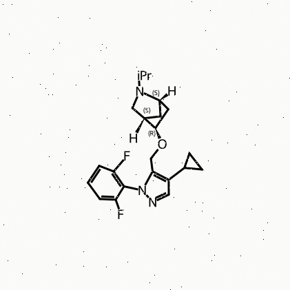 CC(C)N1C[C@@H]2C[C@H]1C[C@H]2OCc1c(C2CC2)cnn1-c1c(F)cccc1F